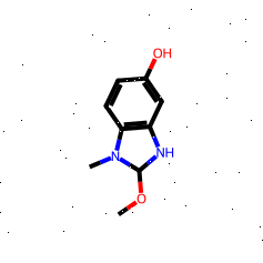 COC1Nc2cc(O)ccc2N1C